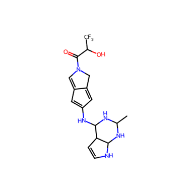 CC1NC2NC=CC2C(NC2=CC3=CN(C(=O)C(O)C(F)(F)F)CC3=C2)N1